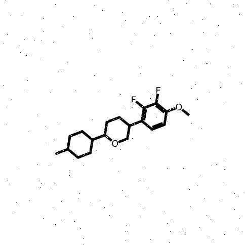 COc1ccc(C2CCC(C3CCC(C)CC3)OC2)c(F)c1F